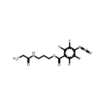 CCC(=O)NCCCOC(=O)c1c(F)c(F)c(N=[N+]=[N-])c(F)c1F